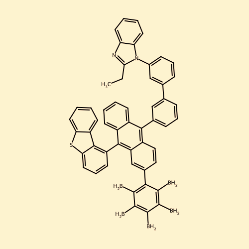 Bc1c(B)c(B)c(-c2ccc3c(-c4cccc(-c5cccc(-n6c(CC)nc7ccccc76)c5)c4)c4ccccc4c(-c4cccc5sc6ccccc6c45)c3c2)c(B)c1B